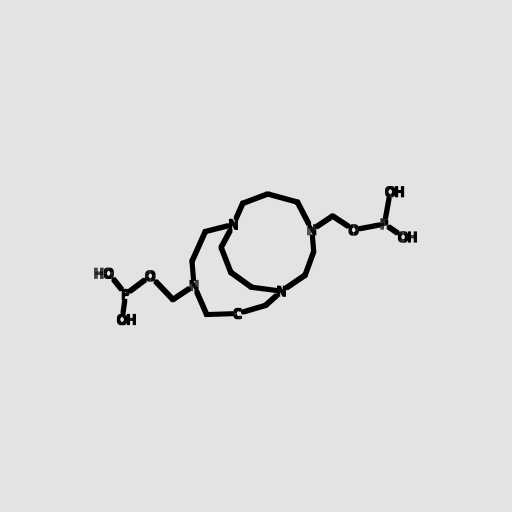 OP(O)OCN1CCCN2CCCN(CCCN(COP(O)O)CC2)CC1